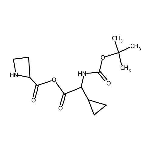 CC(C)(C)OC(=O)NC(C(=O)OC(=O)C1CCN1)C1CC1